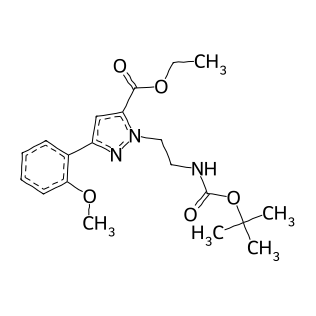 CCOC(=O)c1cc(-c2ccccc2OC)nn1CCNC(=O)OC(C)(C)C